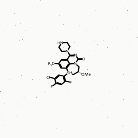 CO[C@H]1Cn2c(=O)nc(N3CCNCC3)c3cc(C(F)(F)F)cc(c32)[SH](c2cc(Cl)c(F)cc2F)C1